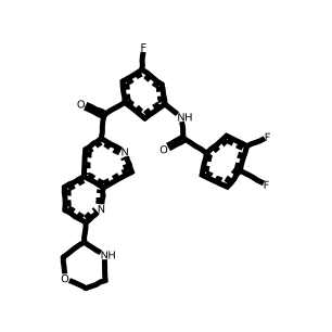 O=C(Nc1cc(F)cc(C(=O)c2cc3ccc(C4COCCN4)nc3cn2)c1)c1ccc(F)c(F)c1